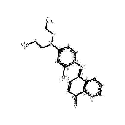 CCCN(CCC)c1ccc(N=C2C=CC(=O)c3ncccc32)c(C)c1